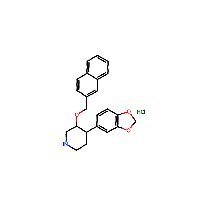 Cl.c1ccc2cc(COC3CNCCC3c3ccc4c(c3)OCO4)ccc2c1